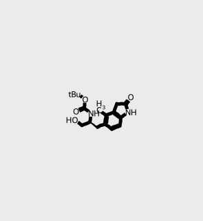 Cc1c(C[C@@H](CO)NC(=O)OC(C)(C)C)ccc2c1CC(=O)N2